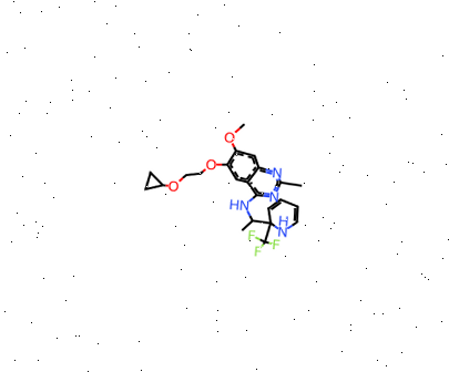 COc1cc2nc(C)nc(NC(C)C3(C(F)(F)F)C=CC=CN3)c2cc1OCCOC1CC1